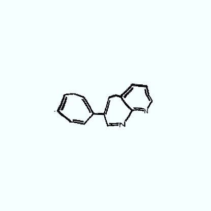 [c]1ccc(-c2cnc3ncccc3c2)cc1